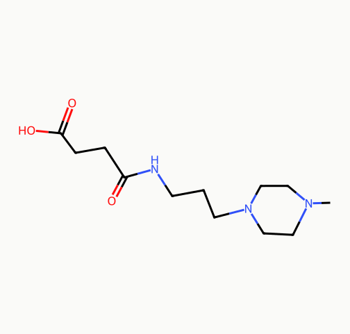 CN1CCN(CCCNC(=O)CCC(=O)O)CC1